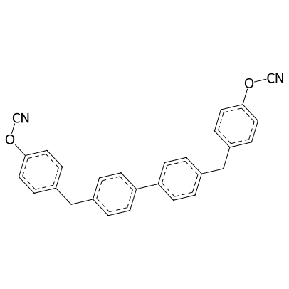 N#COc1ccc(Cc2ccc(-c3ccc(Cc4ccc(OC#N)cc4)cc3)cc2)cc1